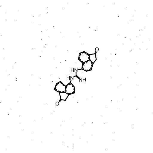 N=C(Nc1ccc2c3c(cccc13)C(=O)C2)Nc1ccc2c3c(cccc13)C(=O)C2